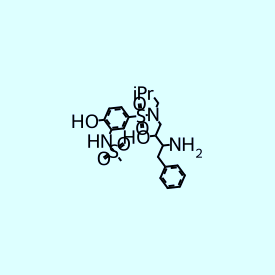 CC(C)CN(CC(O)C(N)Cc1ccccc1)S(=O)(=O)c1ccc(O)c(NS(C)(=O)=O)c1